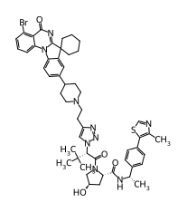 Cc1ncsc1-c1ccc([C@H](C)NC(=O)[C@@H]2C[C@@H](O)CN2C(=O)[C@@H](n2cc(CCN3CCC(c4ccc5c(c4)C4(CCCCC4)c4nc(=O)c6c(Br)cccc6n4-5)CC3)nn2)C(C)(C)C)cc1